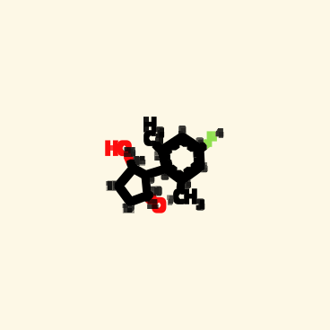 Cc1cc(F)cc(C)c1C1C(=O)CCC1O